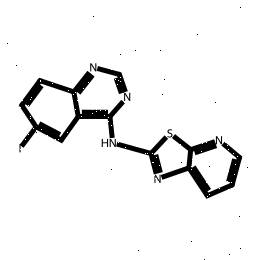 Ic1ccc2ncnc(Nc3nc4cccnc4s3)c2c1